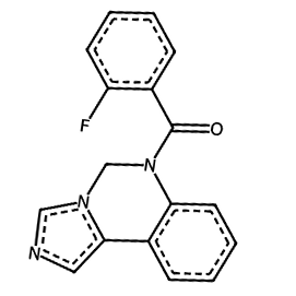 O=C(c1ccccc1F)N1Cn2cncc2-c2ccccc21